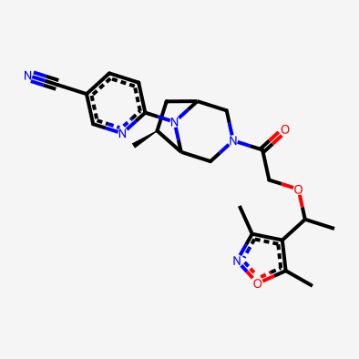 Cc1noc(C)c1C(C)OCC(=O)N1CC2C[C@H](C)C(C1)N2c1ccc(C#N)cn1